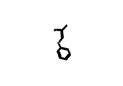 CC(Br)=COc1ccccc1